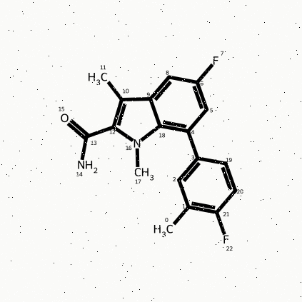 Cc1cc(-c2cc(F)cc3c(C)c(C(N)=O)n(C)c23)ccc1F